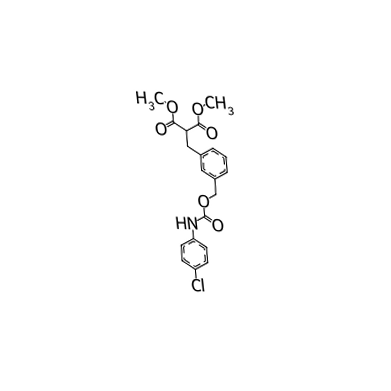 COC(=O)C(Cc1cccc(COC(=O)Nc2ccc(Cl)cc2)c1)C(=O)OC